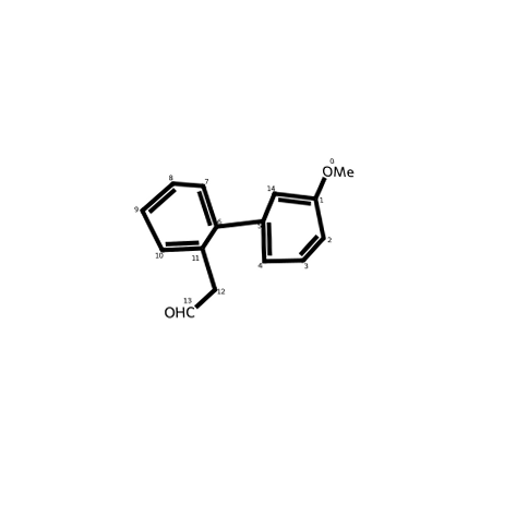 COc1cccc(-c2ccccc2CC=O)c1